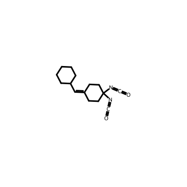 O=C=NC1(N=C=O)CCC(=CC2CCCCC2)CC1